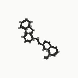 Oc1cccc2ccc(/C=C/c3cccc4c3Cc3ccccc3-4)nc12